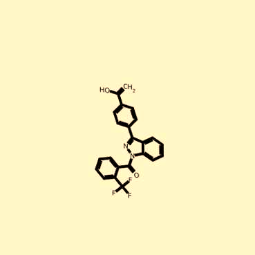 C=C(O)c1ccc(-c2nn(C(=O)c3ccccc3C(F)(F)F)c3ccccc23)cc1